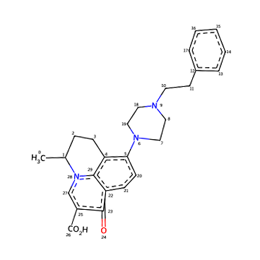 CC1CCc2c(N3CCN(CCc4ccccc4)CC3)ccc3c(=O)c(C(=O)O)cn1c23